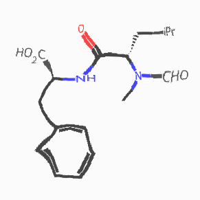 CC(C)C[C@@H](C(=O)N[C@@H](Cc1ccccc1)C(=O)O)N(C)C=O